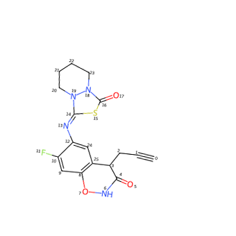 C#CCC1C(=O)NOc2cc(F)c(N=c3sc(=O)n4n3CCCC4)cc21